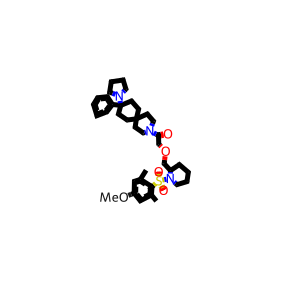 COc1cc(C)c(S(=O)(=O)N2CCCCC2COCC(=O)N2CCC3(CC2)CCC(c2ccccc2)(N2CCCC2)CC3)c(C)c1